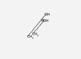 CCCCCCCCCCCCCCCC(=O)O.CCCCCCCCCCCCCCCCCCCCCCCCCCO